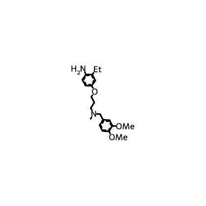 CCc1cc(OCCCN(C)Cc2ccc(OC)c(OC)c2)ccc1N